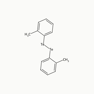 Cc1ccccc1[Te][Te]c1ccccc1C